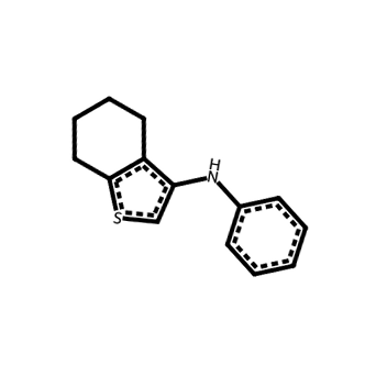 c1ccc(Nc2csc3c2CCCC3)cc1